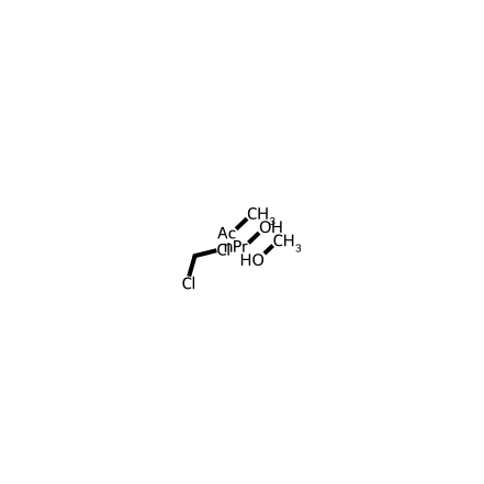 CC(C)=O.CCCO.CO.ClCCl